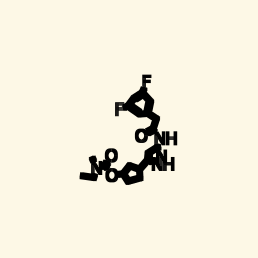 CCN(C)C(=O)OC1CCC(c2cc(NC(=O)Cc3cc(F)cc(F)c3)n[nH]2)C1